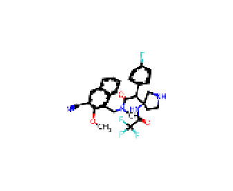 COc1c(C#N)cc2ccccc2c1CN(C)C(=O)C(c1ccc(F)cc1)[C@@]1(NC(=O)C(F)(F)F)CCNC1